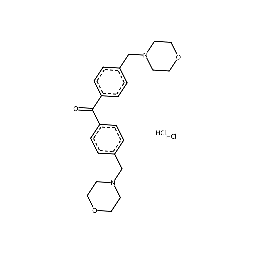 Cl.Cl.O=C(c1ccc(CN2CCOCC2)cc1)c1ccc(CN2CCOCC2)cc1